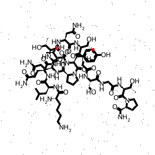 CC(C)C[C@H](NC(=O)[C@@H](N)CCCCN)C(=O)N[C@@H](CCC(N)=O)C(=O)N[C@H](C(=O)N[C@@H](Cc1ccc(O)cc1)C(=O)N1CCC[C@H]1C(=O)N[C@@H](CCC(N)=O)C(=O)N[C@H](C(=O)N[C@@H](CC(N)=O)C(=O)N[C@H](C(=O)NCC(=O)N[C@@H](CO)C(=O)NCC(=O)N[C@H](C(=O)N1CCC[C@H]1C(N)=O)[C@@H](C)O)[C@@H](C)O)[C@@H](C)O)[C@@H](C)O